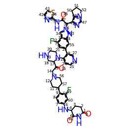 O=C1CCC(Nc2ccc(C3CCN(CC(=O)C4CNCCN4c4ccncc4-c4cc(F)c5cn(C(C(=O)Nc6nccs6)c6ncn7c6CCC7)nc5c4)CC3)c(F)c2)C(=O)N1